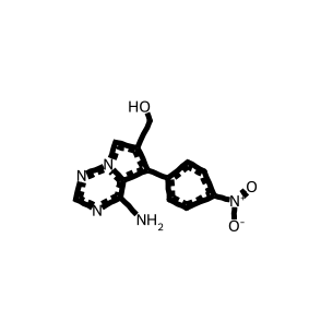 Nc1ncnn2cc(CO)c(-c3ccc([N+](=O)[O-])cc3)c12